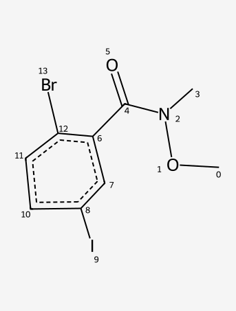 CON(C)C(=O)c1cc(I)ccc1Br